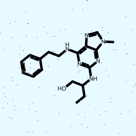 CCC(CO)Nc1nc(NCCc2ccccc2)c2ncn(C)c2n1